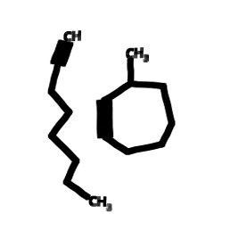 C#CCCCCCC.CC1C#CCCCC1